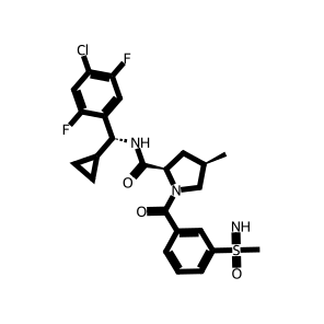 C[C@@H]1C[C@H](C(=O)N[C@@H](c2cc(F)c(Cl)cc2F)C2CC2)N(C(=O)c2cccc(S(C)(=N)=O)c2)C1